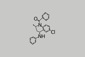 C[C@@H]1C[C@H](Nc2ccccc2)c2cc(Cl)ccc2N1C(=O)c1ccccc1